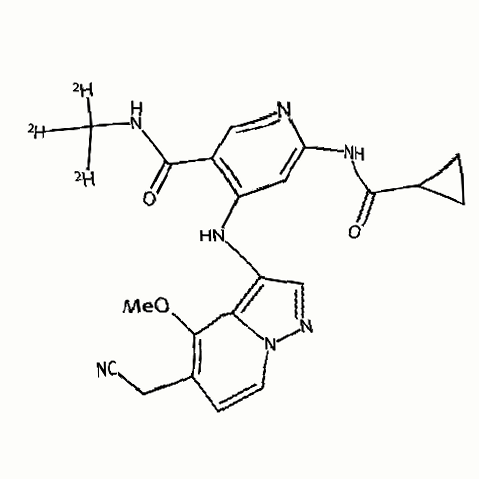 [2H]C([2H])([2H])NC(=O)c1cnc(NC(=O)C2CC2)cc1Nc1cnn2ccc(CC#N)c(OC)c12